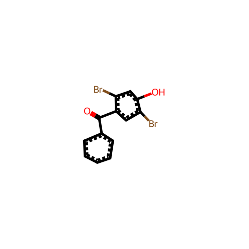 O=C(c1ccccc1)c1cc(Br)c(O)cc1Br